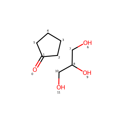 O=C1CCCC1.OCC(O)CO